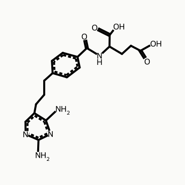 Nc1ncc(CCCc2ccc(C(=O)NC(CCC(=O)O)C(=O)O)cc2)c(N)n1